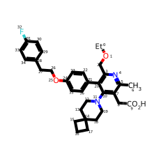 CCOCc1nc(C)c(CC(=O)O)c(N2CCC3(CCC3)CC2)c1-c1ccc(OCCc2ccc(F)cc2)cc1